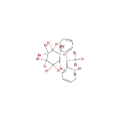 Brc1ccccc1C(c1ccccc1)(C(Br)(Br)Br)C1(Br)C(Br)(Br)C(Br)(Br)C(Br)(Br)C(Br)(Br)C1(Br)Br